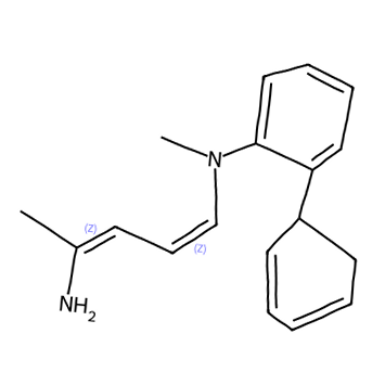 C/C(N)=C/C=C\N(C)c1ccccc1C1C=CC=CC1